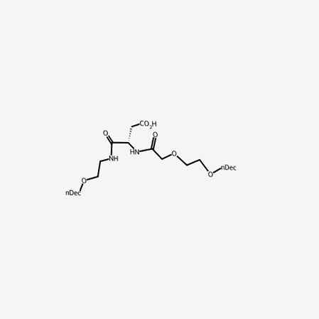 CCCCCCCCCCOCCNC(=O)[C@H](CC(=O)O)NC(=O)COCCOCCCCCCCCCC